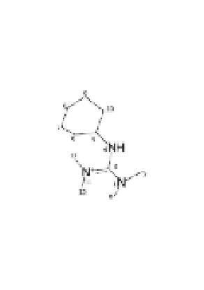 CN(C)C(NC1CCCCC1)=[N+](C)C